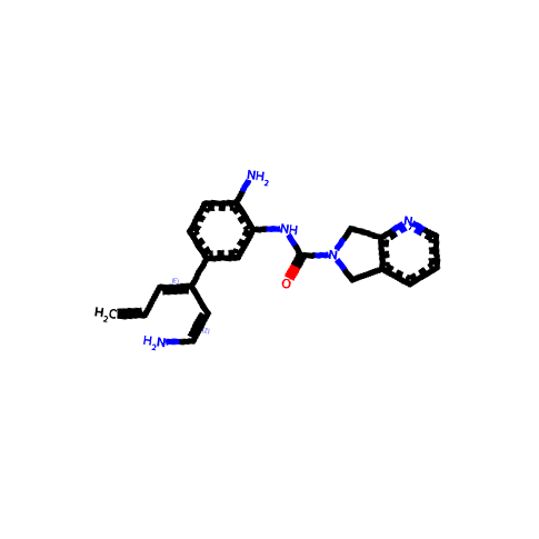 C=C/C=C(\C=C/N)c1ccc(N)c(NC(=O)N2Cc3cccnc3C2)c1